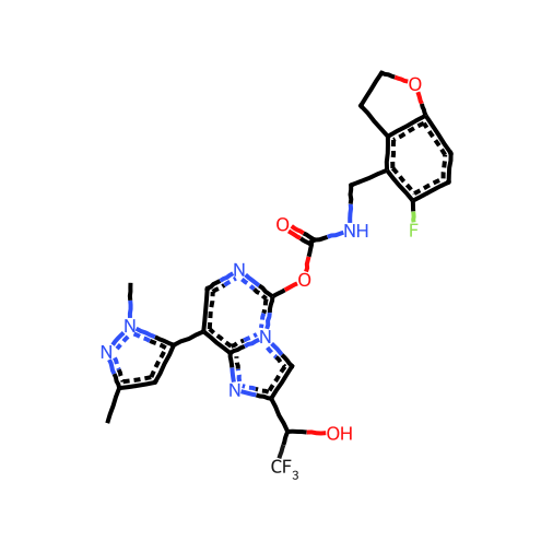 Cc1cc(-c2cnc(OC(=O)NCc3c(F)ccc4c3CCO4)n3cc(C(O)C(F)(F)F)nc23)n(C)n1